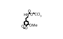 COc1cc(CCNC(=O)OCC(Cl)(Cl)Cl)cc2c1OCO2